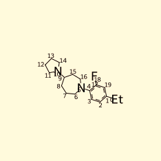 CCc1ccc(N2CCCC(N3CCCC3)CC2)c(F)c1